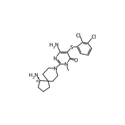 Cn1c(N2CCC3(CCC[C@H]3N)CC2)nc(N)c(Sc2cccc(Cl)c2Cl)c1=O